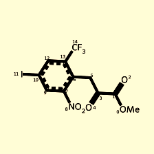 COC(=O)C(=O)Cc1c([N+](=O)[O-])cc(I)cc1C(F)(F)F